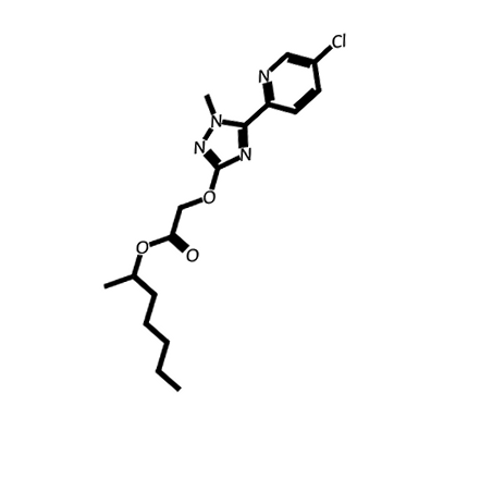 CCCCCC(C)OC(=O)COc1nc(-c2ccc(Cl)cn2)n(C)n1